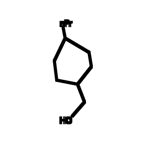 [CH2]CCC1CCC(CO)CC1